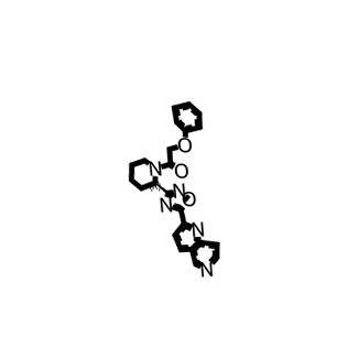 O=C(COc1ccccc1)N1CCCC[C@@H]1c1noc(-c2ccc3cnccc3n2)n1